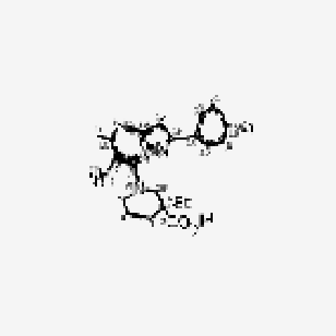 CC[C@]1(C(=O)O)CCCN(c2c(C(C)C)c(C)nc3cc(-c4ccc(Cl)cc4)nn23)C1